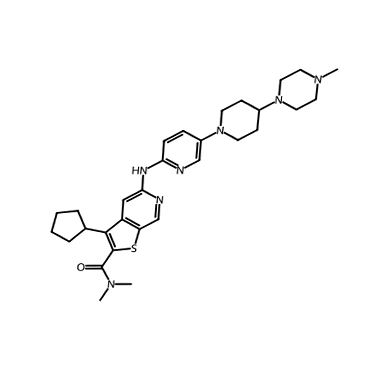 CN1CCN(C2CCN(c3ccc(Nc4cc5c(C6CCCC6)c(C(=O)N(C)C)sc5cn4)nc3)CC2)CC1